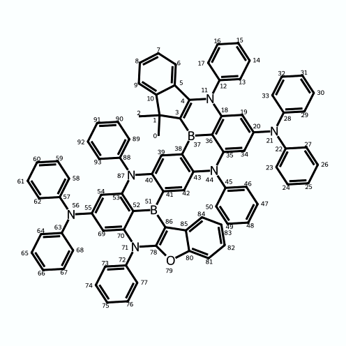 CC1(C)C2=C(c3ccccc31)N(c1ccccc1)c1cc(N(c3ccccc3)c3ccccc3)cc3c1B2c1cc2c(cc1N3c1ccccc1)B1c3c(cc(N(c4ccccc4)c4ccccc4)cc3N(c3ccccc3)c3oc4ccccc4c31)N2c1ccccc1